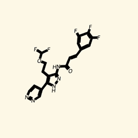 O=C(C=Cc1cc(F)c(F)c(F)c1)Nc1n[nH]c(-c2ccnnc2)c1CCOC(F)F